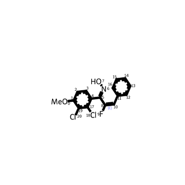 COc1ccc(C(=NO)/C(F)=C\c2ccccc2)c(Cl)c1Cl